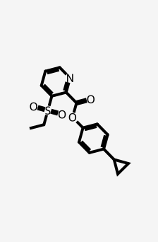 CCS(=O)(=O)c1cccnc1C(=O)Oc1ccc(C2CC2)cc1